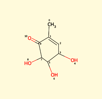 CC1=CC(O)C(O)C(O)C1=O